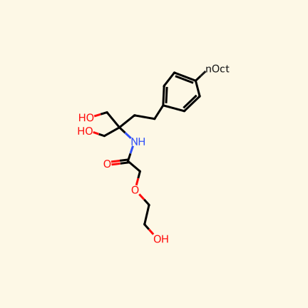 CCCCCCCCc1ccc(CCC(CO)(CO)NC(=O)COCCO)cc1